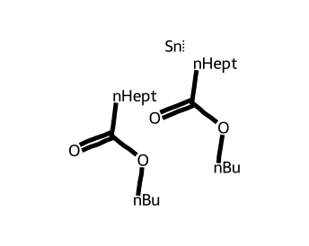 CCCCCCCC(=O)OCCCC.CCCCCCCC(=O)OCCCC.[Sn]